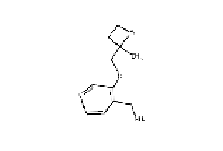 CC1(COc2cnccc2CN)CCO1